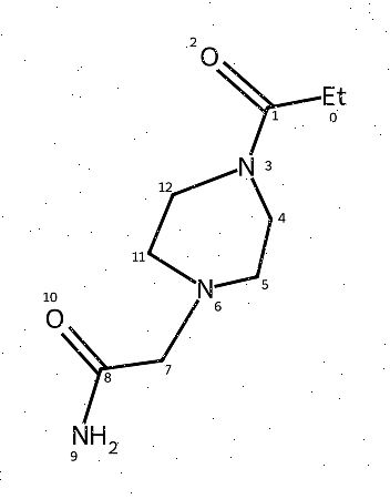 CCC(=O)N1CCN(CC(N)=O)CC1